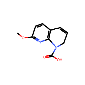 COc1ccc2c(n1)N(C(=O)O)CC=C2